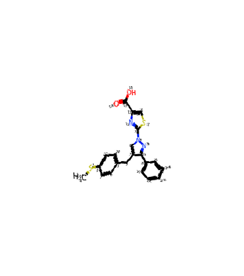 CSc1ccc(Cc2cn(-c3nc(C(=O)O)cs3)nc2-c2ccccc2)cc1